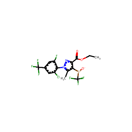 CCOC(=O)c1nn(-c2c(F)cc(C(F)(F)F)cc2Cl)c(C)c1[S+]([O-])C(F)(F)F